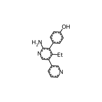 CCc1c(-c2cccnc2)cnc(N)c1-c1ccc(O)cc1